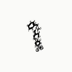 CN(Cc1ccccc1)CC1CCN(c2ccc([N+](=O)[O-])cc2)CC1